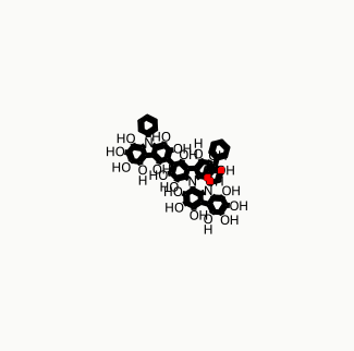 Oc1c(O)c(O)c2c(c1O)c1c(O)c(-c3c(O)c(O)c4c(c3O)c3c(O)c(O)c(O)c(O)c3n4-c3c(O)c(O)c(O)c4c5c(O)c(O)c(O)c(O)c5n(-c5ccc(-c6ccccc6)cc5)c34)c(O)c(O)c1n2-c1ccccc1